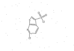 O=S(=O)(Cl)c1csc2nc(Cl)ccc12